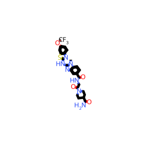 Cn1c(Nc2nc3ccc(OC(F)(F)F)cc3s2)nc2cc(C(=O)NCC(=O)N3CCC(C(N)=O)CC3)ccc21